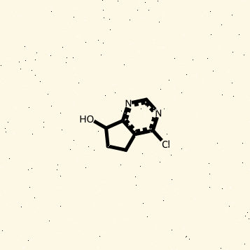 OC1CCc2c(Cl)ncnc21